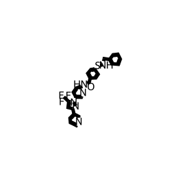 O=C(Nc1ccc(-n2nc(-c3cccnc3)cc2C(F)(F)F)cn1)c1ccc(SNCc2ccccc2)cc1